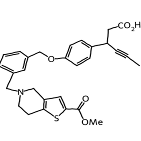 CC#CC(CC(=O)O)c1ccc(OCc2cccc(CN3CCc4sc(C(=O)OC)cc4C3)c2)cc1